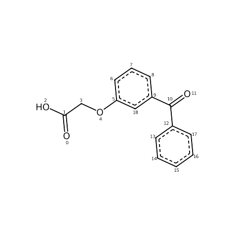 O=C(O)COc1cccc(C(=O)c2ccccc2)c1